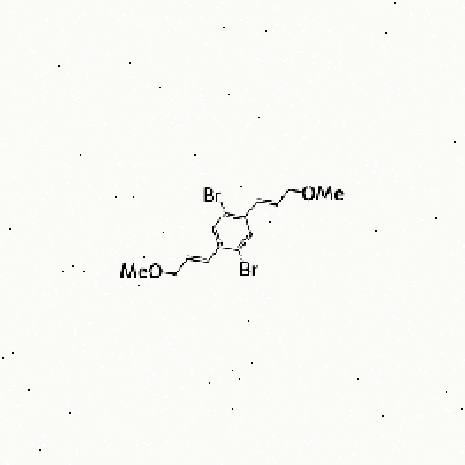 COC/C=C/c1cc(Br)c(/C=C/COC)cc1Br